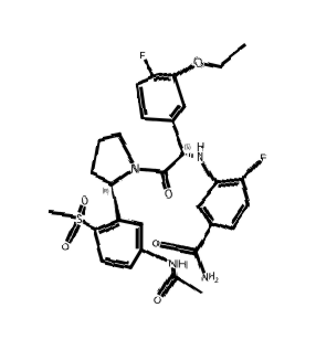 CCOc1cc([C@H](Nc2cc(C(N)=O)ccc2F)C(=O)N2CCC[C@@H]2c2cc(NC(C)=O)ccc2S(C)(=O)=O)ccc1F